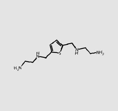 NCCNCc1ccc(CNCCN)s1